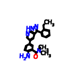 CCc1ccccc1-c1n[nH]c2ncc(-c3ccc(N)c(C(=O)N(C)C)c3)cc12